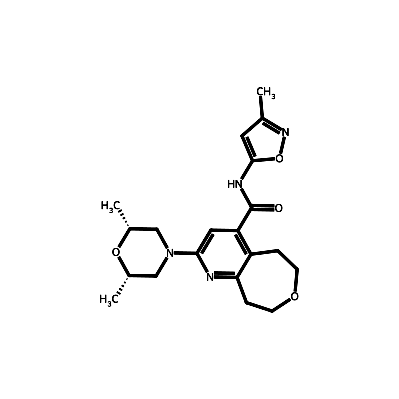 Cc1cc(NC(=O)c2cc(N3C[C@@H](C)O[C@@H](C)C3)nc3c2CCOCC3)on1